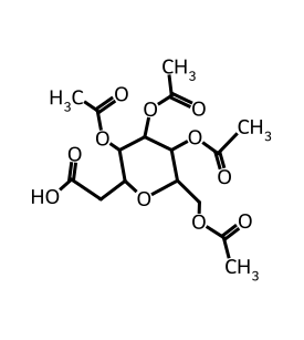 CC(=O)OCC1OC(CC(=O)O)C(OC(C)=O)C(OC(C)=O)C1OC(C)=O